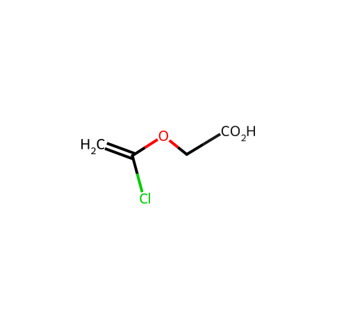 C=C(Cl)OCC(=O)O